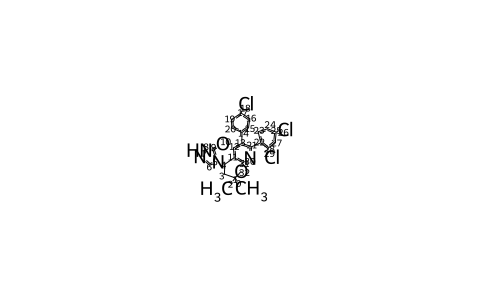 CC1(C)CC(n2cn[nH]c2=O)c2cc(-c3ccc(Cl)cc3)c(-c3ccc(Cl)cc3Cl)nc2O1